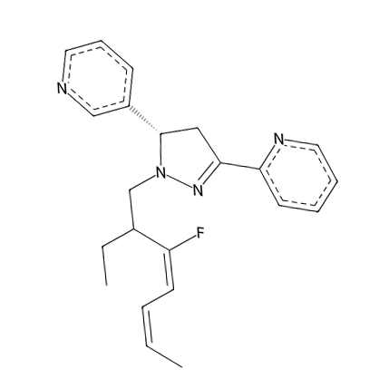 C/C=C\C=C(\F)C(CC)CN1N=C(c2ccccn2)C[C@H]1c1cccnc1